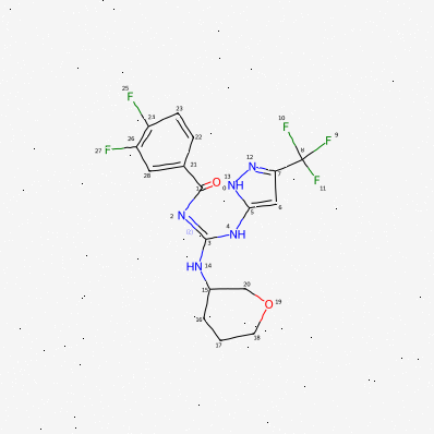 O=C(/N=C(\Nc1cc(C(F)(F)F)n[nH]1)NC1CCCOC1)c1ccc(F)c(F)c1